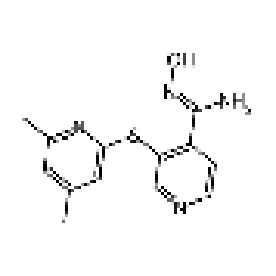 Cc1cc(C)nc(Sc2cnccc2C(N)=NO)c1